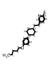 CCCCCOc1ccc([C@H]2CC[C@H](CCc3ccc(F)nc3)CC2)cc1